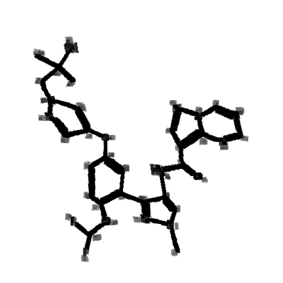 Cn1cc(NC(=O)c2cnn3cccnc23)c(-c2cc(Oc3cnn(CC(C)(C)O)c3)ccc2OC(F)F)n1